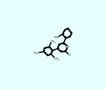 Cc1cc(C)c(-c2cc(Cl)nc(-c3ccccc3O)c2)c(C)c1